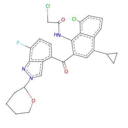 O=C(CCl)Nc1c(C(=O)c2ccc(F)c3nn(C4CCCCO4)cc23)cc(C2CC2)c2cccc(Cl)c12